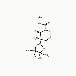 CC(C)(C)OC(=O)N1CCCC(N)(B2OC(C)(C)C(C)(C)O2)C1=O